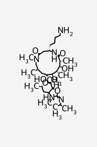 CC(C)/N=C1/O[C@H]2[C@H](O[C@@H]3[C@@H](C)[C@H](O)[C@@H](C)C(=O)N[C@@H](CCCCN)CC(=O)N(C)C[C@H](C)C[C@@]3(C)O)O[C@H](C)C[C@@H]2N1C